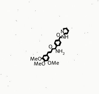 COc1cc(C=CC(=O)C(N)c2ccc(C(=O)Nc3ccccn3)cc2)cc(OC)c1OC